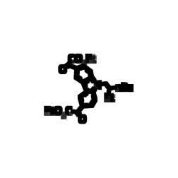 CCCCC(CC)Cn1c2ccc(C(=O)C(=O)OCC)cc2c2cc(C(=O)C(=O)OCC)ccc21